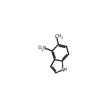 Cc1ccc2[nH]ccc2c1[N+](=O)[O-]